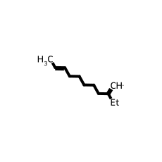 [CH]=C(CC)CCCCCC=CC